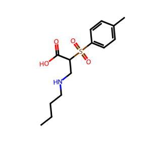 CCCCNCC(C(=O)O)S(=O)(=O)c1ccc(C)cc1